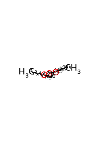 CCCCCCOCc1ccc(COCCCCCC)o1